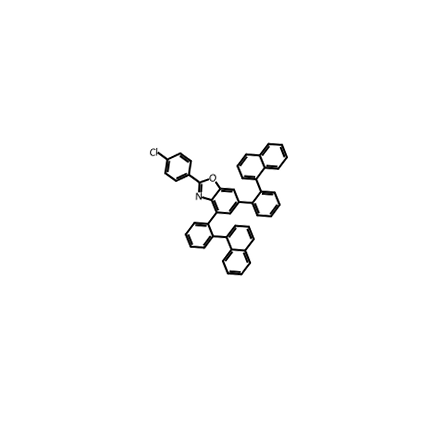 Clc1ccc(-c2nc3c(-c4ccccc4-c4cccc5ccccc45)cc(-c4ccccc4-c4cccc5ccccc45)cc3o2)cc1